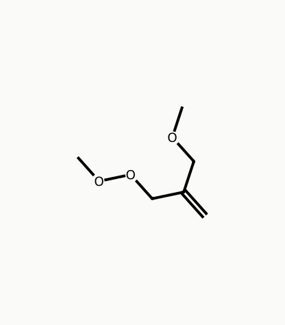 C=C(COC)COOC